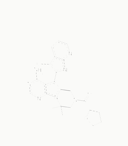 CC1(C)CN(C(=O)[C@@H]2CCCO2)Cc2c(-c3[nH]c4ncccc4c3Cl)c3c(N)ncnc3n21